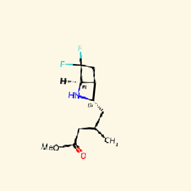 COC(=O)CC(C)C[C@@H]1N[C@@H]2C1CC2(F)F